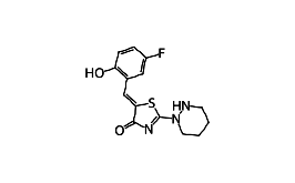 O=C1N=C(N2CCCCN2)S/C1=C\c1cc(F)ccc1O